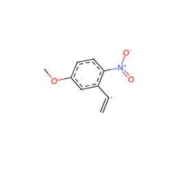 C=[C]c1cc(OC)ccc1[N+](=O)[O-]